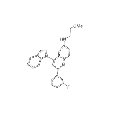 COCCNc1ccc2nc(-c3cccc(F)c3)nc(-n3ccc4cnccc43)c2c1